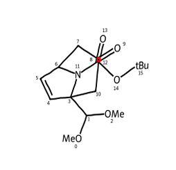 COC(OC)C12C=CC(CC(=O)C1)N2C(=O)OC(C)(C)C